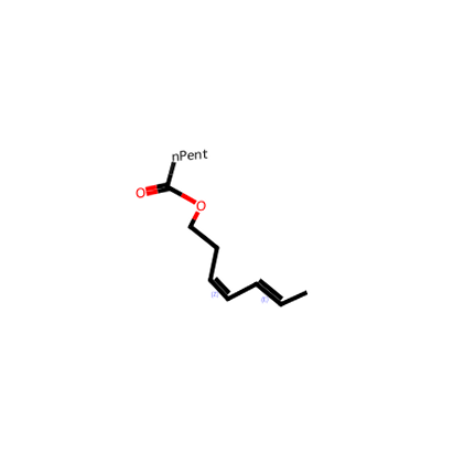 C/C=C/C=C\CCOC(=O)CCCCC